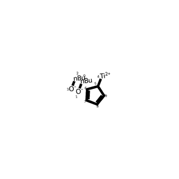 CCCC[O-].CCCC[O-].[Ti+2][CH]1C=CC=C1